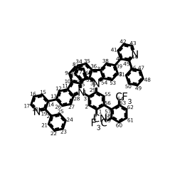 N#Cc1cc(-n2c3ccccc3c3cc(-c4cccnc4-c4ccccc4)ccc32)c(-n2c3ccccc3c3cc(-c4cccnc4-c4ccccc4)ccc32)cc1-c1c(C(F)(F)F)cccc1C(F)(F)F